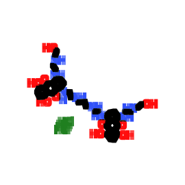 Cl.Cl.Cl.Cl.O=C1c2c(O)ccc(O)c2C(=O)c2c(NCCNCCCNCCNc3ccc(NCCNCCO)c4c3C(=O)c3c(O)ccc(O)c3C4=O)ccc(NCCNCCO)c21